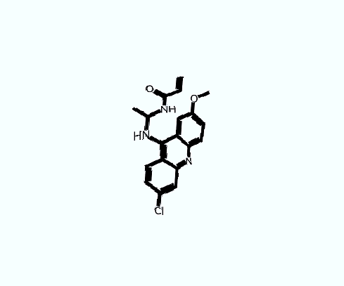 C=CC(=O)NC(C)Nc1c2ccc(Cl)cc2nc2ccc(OC)cc12